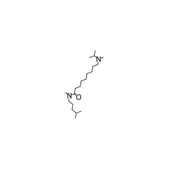 CC(C)CCCN(C)C(=O)CCCCCCCCN(C)C(C)C